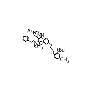 CC(=O)N1CC2CC(c3ccc(CCCOc4ccc(C)cc4C(C)(C)C)cc3)=C(C(=O)N(C)CCc3ccccc3)C(C1)N2